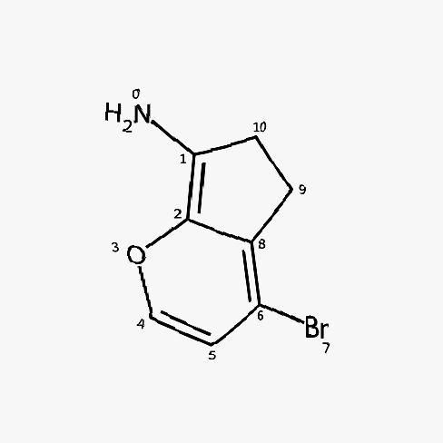 NC1=C2OC=CC(Br)=C2CC1